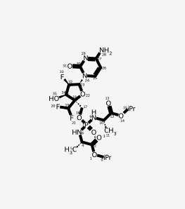 CC(C)OC(=O)[C@H](C)NP(=O)(N[C@@H](C)C(=O)OC(C)C)OC[C@@]1(C(F)F)O[C@@H](n2ccc(N)nc2=O)[C@H](F)[C@@H]1O